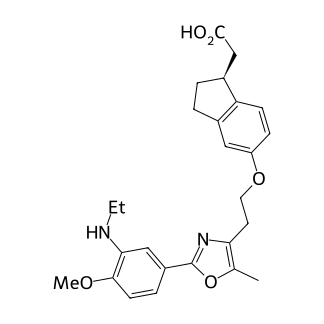 CCNc1cc(-c2nc(CCOc3ccc4c(c3)CC[C@H]4CC(=O)O)c(C)o2)ccc1OC